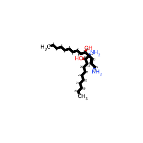 CCCCCCCCCC(O)C(N)(C=CCN)C(O)CCCCCCCCC